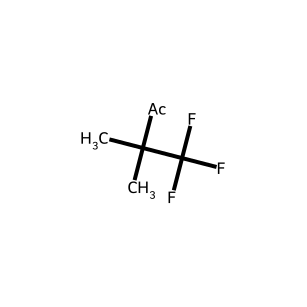 CC(=O)C(C)(C)C(F)(F)F